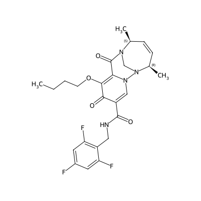 CCCCOc1c2n(cc(C(=O)NCc3c(F)cc(F)cc3F)c1=O)N1CN(C2=O)[C@@H](C)C=C[C@H]1C